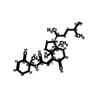 CC(C)C(C)CCC(C)[C@H]1CC[C@H]2/C(=C\C(=O)O[C@]3(C)CCC=CC3=O)C(=O)CC[C@]12C